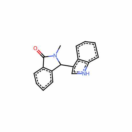 CN1C(=O)c2ccccc2C1c1c[nH]c2ccccc12